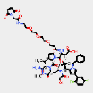 CNC(=O)[C@H](CCN(C(=O)CO)[C@@H](c1cc(-c2cc(F)ccc2F)cn1Cc1ccccc1)C(C)(C)C)N(C(=O)[C@@H]1CCCN1C(=O)[C@H](CC(=O)O)NC(=O)CCOCCOCCOCCNC(=O)CN1C(=O)C=CC1=O)[C@H](C(N)=O)C(C)C